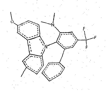 COc1ccc2c(c1)c1cc(C)ccc1n2-c1c(-c2ccccc2)cc(C(F)(F)F)cc1N(C)C